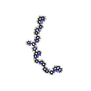 c1ccc(-c2cc(-c3ccc(-c4cc5ccc(-c6cccc(-c7ccc8ccc(-c9ccc%10ccc(-c%11cccc(-c%12ccc%13ccc%14cccnc%14c%13n%12)c%11)nc%10c9)cc8n7)c6)nc5c5ncccc45)cn3)cc(-c3ccc4ccc(-c5ccc6ccc(-c7cccc(-c8ccc9ccc%10cccnc%10c9n8)c7)nc6c5)cc4n3)c2)nc1